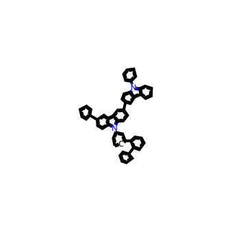 c1ccc(-c2ccc3c(c2)c2cc(-c4ccc5c(c4)c4ccccc4n5-c4ccccc4)ccc2n3-c2cccc(-c3ccccc3-c3ccccc3)c2)cc1